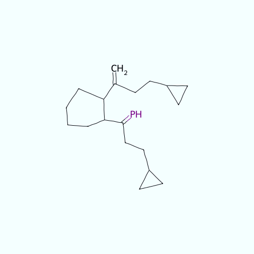 C=C(CCC1CC1)C1CCCCC1C(=P)CCC1CC1